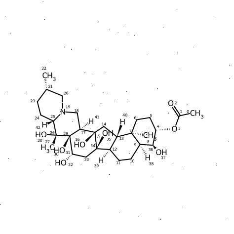 CC(=O)O[C@H]1CC[C@@]2(C)[C@H](CC[C@@H]3[C@@H]2C[C@@]2(O)[C@@H]4CN5C[C@@H](C)CC[C@H]5[C@@](C)(O)[C@@]4(O)[C@@H](O)C[C@@]32O)[C@@H]1O